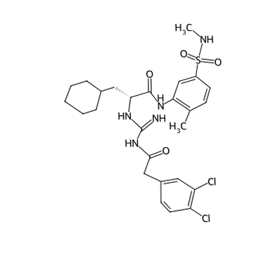 CNS(=O)(=O)c1ccc(C)c(NC(=O)[C@@H](CC2CCCCC2)NC(=N)NC(=O)Cc2ccc(Cl)c(Cl)c2)c1